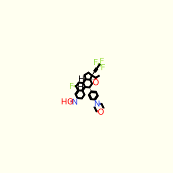 CC(=O)[C@@]1(C#CC(F)(F)F)CC[C@H]2[C@@H]3CC(F)C4=CC(=NO)CCC4=C3[C@@H](c3ccc(N4CCOCC4)cc3)C[C@@]21C